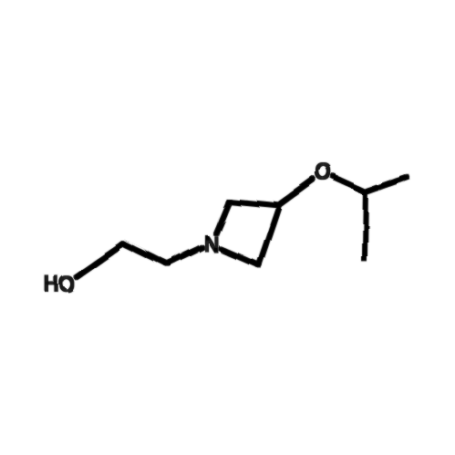 CC(C)OC1CN(CCO)C1